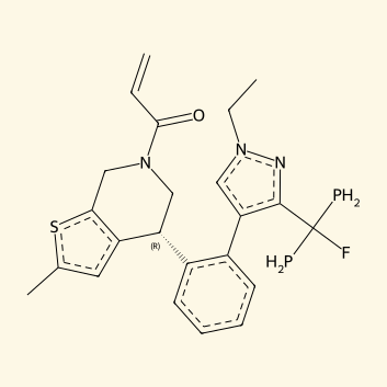 C=CC(=O)N1Cc2sc(C)cc2[C@@H](c2ccccc2-c2cn(CC)nc2C(F)(P)P)C1